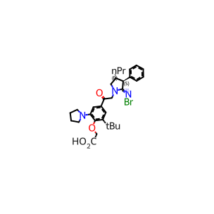 CCC[C@H]1CN(CC(=O)c2cc(N3CCCC3)c(OCC(=O)O)c(C(C)(C)C)c2)/C(=N\Br)[C@@H]1c1ccccc1